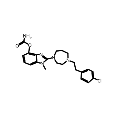 Cn1c(N2CCCN(CCc3ccc(Cl)cc3)CC2)nc2c(OC(N)=O)cccc21